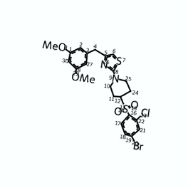 COc1cc(Cc2csc(N3CCC(S(=O)(=O)c4ccc(Br)cc4Cl)CC3)n2)cc(OC)c1